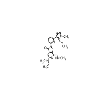 CCCn1c(C)nnc1-c1cccc(N2Cc3c(cc(N(C)CC)nc3CNC)C2=O)n1